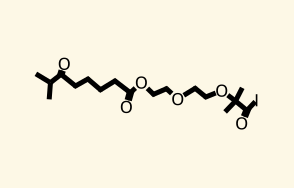 CC(C)C(=O)CCCCC(=O)OCCOCCOC(C)(C)C(=O)I